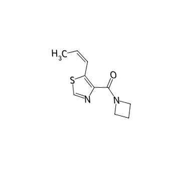 C/C=C\c1scnc1C(=O)N1CCC1